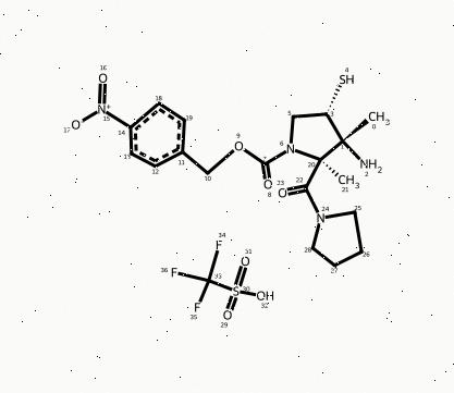 C[C@]1(N)[C@@H](S)CN(C(=O)OCc2ccc([N+](=O)[O-])cc2)[C@]1(C)C(=O)N1CCCC1.O=S(=O)(O)C(F)(F)F